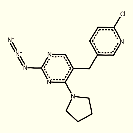 [N-]=[N+]=Nc1ncc(Cc2ccc(Cl)nc2)c(N2CCCC2)n1